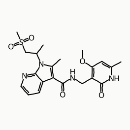 COc1cc(C)[nH]c(=O)c1CNC(=O)c1c(C)n(C(C)CS(C)(=O)=O)c2ncccc12